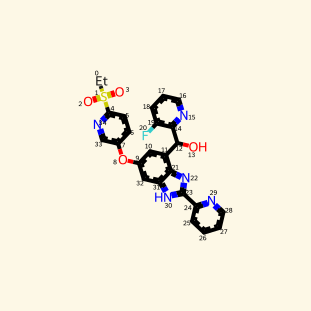 CCS(=O)(=O)c1ccc(Oc2cc(C(O)c3ncccc3F)c3nc(-c4ccccn4)[nH]c3c2)cn1